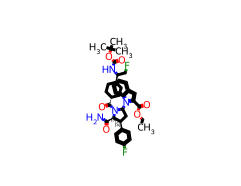 CCOC(=O)c1cc2ccccc2n1C1C[C@@H](c2ccc(F)cc2)[C@@H](C(N)=O)N1C(=O)[C@H]1CC[C@H](C(CF)NC(=O)OC(C)(C)C)CC1